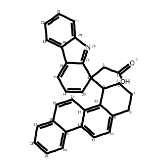 O=C(O)CC1(C2CCCc3ccc4c(ccc5ccccc54)c32)C=CC=C2C1=Nc1ccccc12